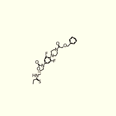 CCC(=S)NC[C@H]1CN(c2cc(F)c(N3CCN(C(=O)COCc4ccccc4)CC3)c(F)c2)C(=O)O1